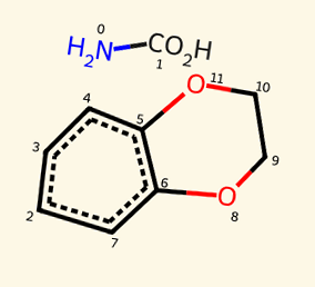 NC(=O)O.c1ccc2c(c1)OCCO2